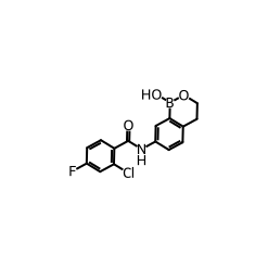 O=C(Nc1ccc2c(c1)B(O)OCC2)c1ccc(F)cc1Cl